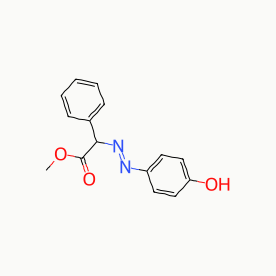 COC(=O)C(N=Nc1ccc(O)cc1)c1ccccc1